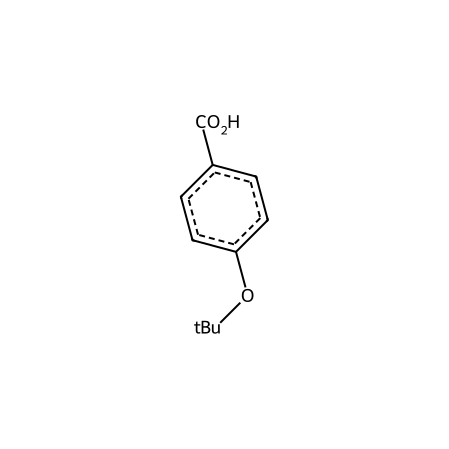 [CH]C(C)(C)Oc1ccc(C(=O)O)cc1